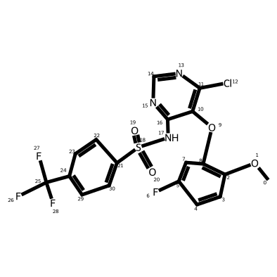 COc1ccc(F)cc1Oc1c(Cl)ncnc1NS(=O)(=O)c1ccc(C(F)(F)F)cc1